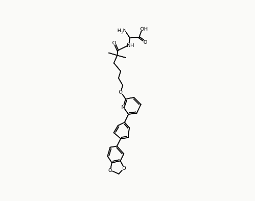 CC(C)(CCCCOc1cccc(-c2ccc(-c3ccc4c(c3)OCO4)cc2)n1)C(=O)NC(N)C(=O)O